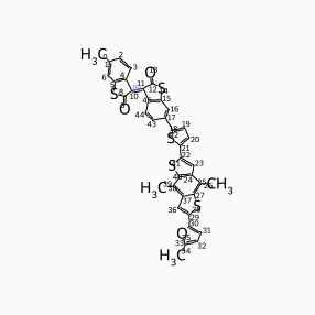 Cc1ccc2c(c1)SC(=O)/C2=C1/C(=O)Sc2cc(-c3ccc(-c4cc5c(C)c6sc(-c7ccc(C)o7)cc6c(C)c5s4)s3)ccc21